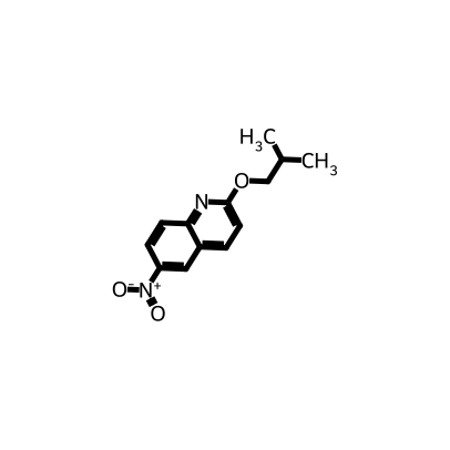 CC(C)COc1ccc2cc([N+](=O)[O-])ccc2n1